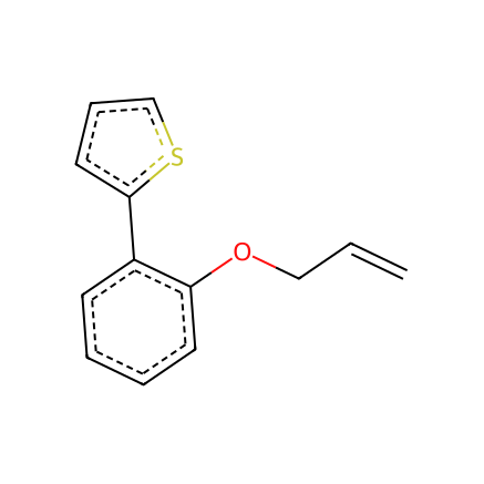 C=CCOc1ccccc1-c1cccs1